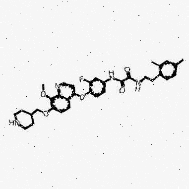 COc1c(OCC2CCNCC2)ccc2c(Oc3ccc(NC(=O)C(=O)NCCc4ccc(C)cc4C)cc3F)ccnc12